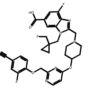 N#Cc1ccc(OCc2nccc(OC3CCN(Cc4nc5c(F)cc(C(=O)O)cc5n4CC4(CF)CC4)CC3)n2)c(F)c1